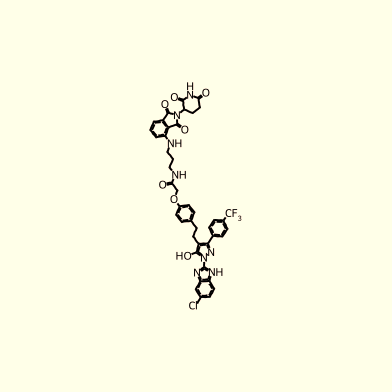 O=C(COc1ccc(CCc2c(-c3ccc(C(F)(F)F)cc3)nn(-c3nc4cc(Cl)ccc4[nH]3)c2O)cc1)NCCCNc1cccc2c1C(=O)N(C1CCC(=O)NC1=O)C2=O